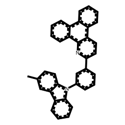 Cc1ccc2c(c1)c1ccccc1n2-c1cccc(-c2ccc3c4ccccc4c4ccccc4c3n2)c1